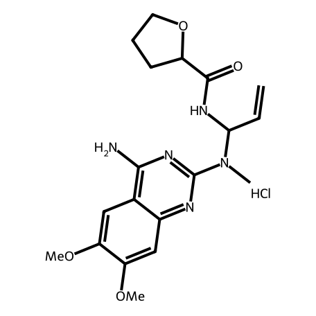 C=CC(NC(=O)C1CCCO1)N(C)c1nc(N)c2cc(OC)c(OC)cc2n1.Cl